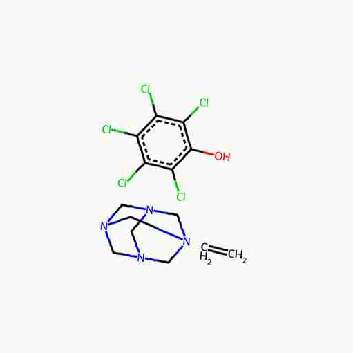 C1N2CN3CN1CN(C2)C3.C=C.Oc1c(Cl)c(Cl)c(Cl)c(Cl)c1Cl